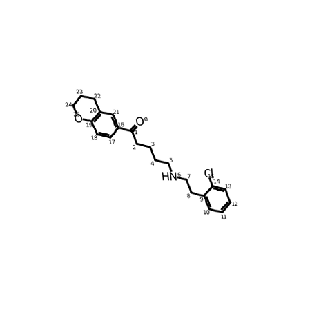 O=C(CCCCNCCc1ccccc1Cl)c1ccc2c(c1)CCCO2